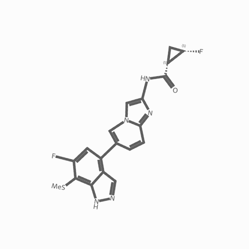 CSc1c(F)cc(-c2ccc3nc(NC(=O)[C@@H]4C[C@@H]4F)cn3c2)c2cn[nH]c12